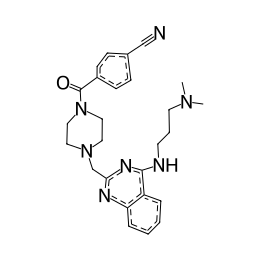 CN(C)CCCNc1nc(CN2CCN(C(=O)c3ccc(C#N)cc3)CC2)nc2ccccc12